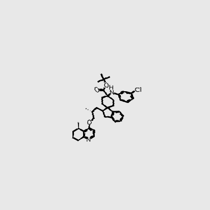 C[C@@H](COc1ccnc2c1[C@H](C)CCC2)CC1Cc2ccccc2C12CCC(Nc1cccc(Cl)c1)(C(=O)OC(C)(C)C)CC2